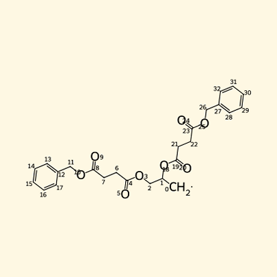 [CH2]C(COC(=O)CCC(=O)OCc1ccccc1)OC(=O)CCC(=O)OCc1ccccc1